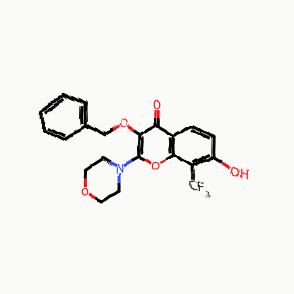 O=c1c(OCc2ccccc2)c(N2CCOCC2)oc2c(C(F)(F)F)c(O)ccc12